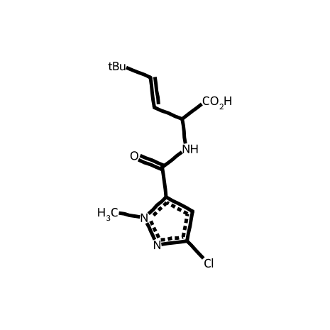 Cn1nc(Cl)cc1C(=O)NC(C=CC(C)(C)C)C(=O)O